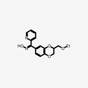 CCOCC1COc2ccc(C(=NO)c3ccccn3)cc2O1